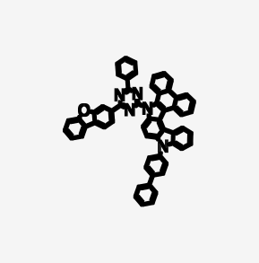 c1ccc(-c2ccc(-n3c4ccccc4c4c5c6c7ccccc7c7ccccc7c6n(-c6nc(-c7ccccc7)nc(-c7ccc8c(c7)oc7ccccc78)n6)c5ccc43)cc2)cc1